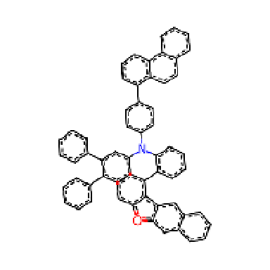 c1ccc(-c2ccc(N(c3ccc(-c4cccc5c4ccc4ccccc45)cc3)c3ccccc3-c3cccc4oc5cc6ccccc6cc5c34)cc2-c2ccccc2)cc1